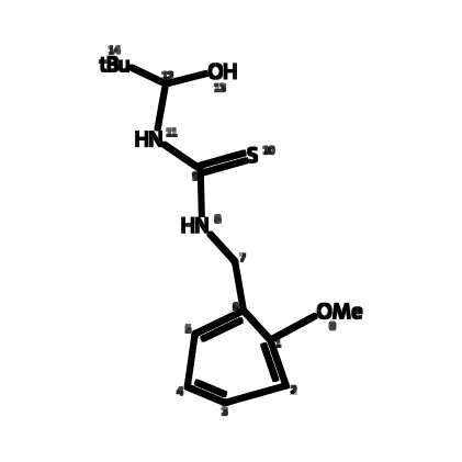 COc1ccccc1CNC(=S)NC(O)C(C)(C)C